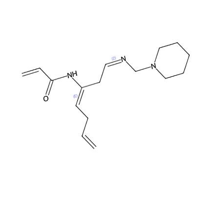 C=CC/C=C(\C/C=N\CN1CCCCC1)NC(=O)C=C